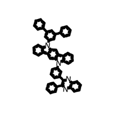 c1ccc(-c2cc(-c3ccccc3)cc(-n3c4ccccc4c4cc5c(cc43)c3ccccc3n5-c3cccc(-c4nc5ccccc5nc4-c4ccccc4)c3)c2)cc1